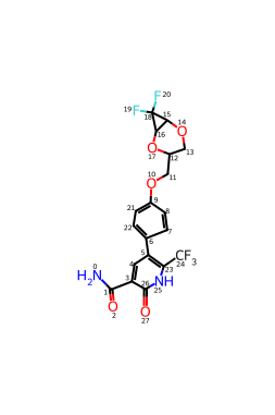 NC(=O)c1cc(-c2ccc(OCC3COC4C(O3)C4(F)F)cc2)c(C(F)(F)F)[nH]c1=O